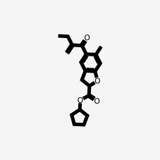 C=C(CC)C(=O)c1cc2c(cc1C)OC(C(=O)OC1CCCC1)C2